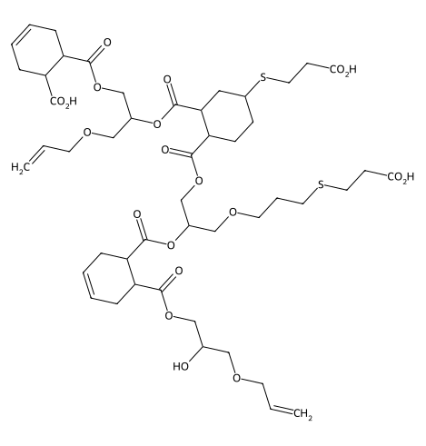 C=CCOCC(O)COC(=O)C1CC=CCC1C(=O)OC(COCCCSCCC(=O)O)COC(=O)C1CCC(SCCC(=O)O)CC1C(=O)OC(COCC=C)COC(=O)C1CC=CCC1C(=O)O